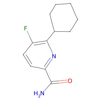 NC(=O)c1ccc(F)c(C2CCCCC2)n1